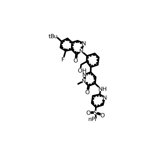 CCCS(=O)(=O)c1ccc(Nc2cc(-c3cccc(-n4ncc5cc(C(C)(C)C)cc(F)c5c4=O)c3CO)nn(C)c2=O)nc1